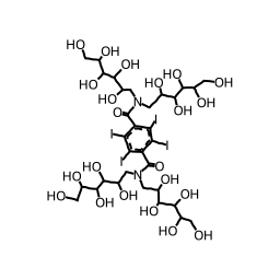 O=C(c1c(I)c(I)c(C(=O)N(CC(O)C(O)C(O)C(O)CO)CC(O)C(O)C(O)C(O)CO)c(I)c1I)N(CC(O)C(O)C(O)C(O)CO)CC(O)C(O)C(O)C(O)CO